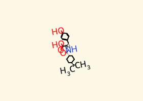 CC(C)[C@H]1CC[C@H](C(=O)N[C@@H](Cc2ccc(O)cc2)C(=O)O)CC1